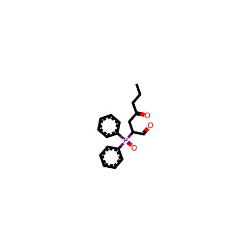 CCCC(=O)CC(C=O)P(=O)(c1ccccc1)c1ccccc1